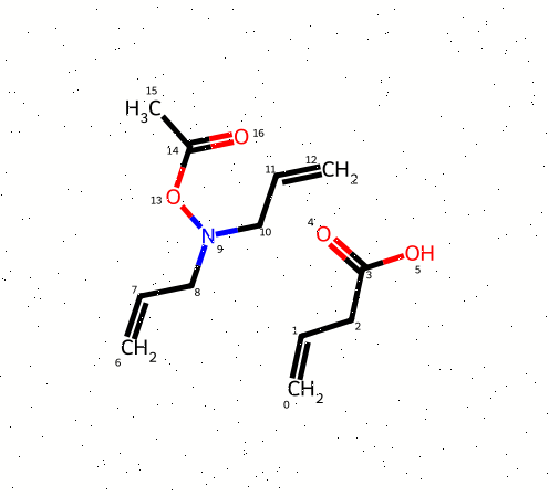 C=CCC(=O)O.C=CCN(CC=C)OC(C)=O